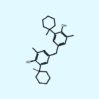 Cc1cc(Cc2cc(C)c(O)c(C3(C)CCCCC3)c2)cc(C2(C)CCCCC2)c1O